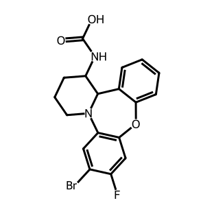 O=C(O)NC1CCCN2c3cc(Br)c(F)cc3Oc3ccccc3C12